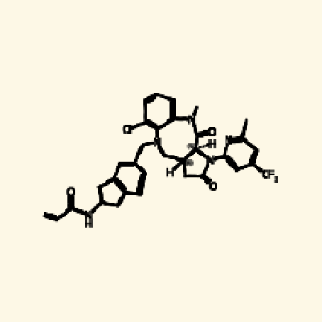 C=CC(=O)NC1Cc2ccc(CN3C[C@H]4CC(=O)N(c5cc(C(F)(F)F)cc(C)n5)[C@@H]4C(=O)N(C)c4cccc(Cl)c43)cc2C1